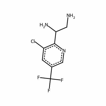 NCC(N)c1ncc(C(F)(F)F)cc1Cl